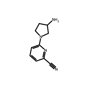 N#Cc1cccc(N2CCC(N)C2)n1